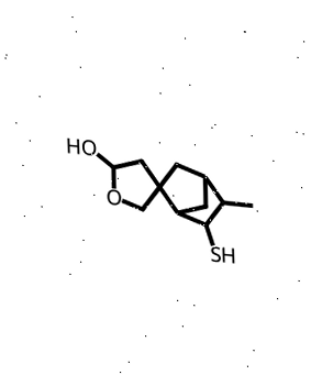 CC1C2CC(C1S)C1(COC(O)C1)C2